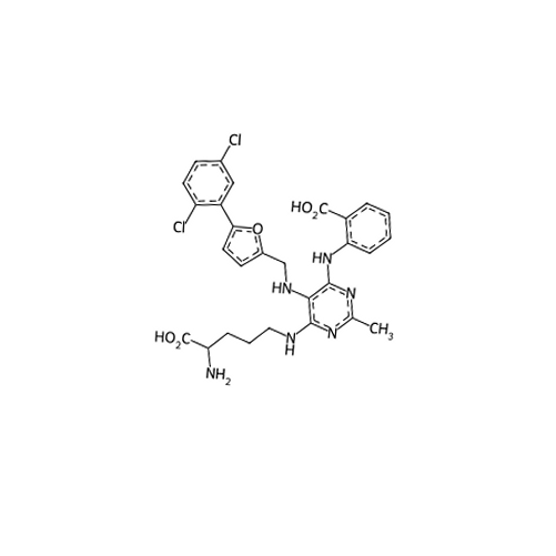 Cc1nc(NCCCC(N)C(=O)O)c(NCc2ccc(-c3cc(Cl)ccc3Cl)o2)c(Nc2ccccc2C(=O)O)n1